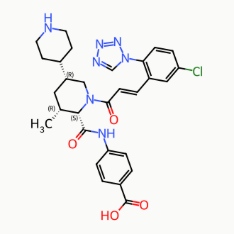 C[C@@H]1C[C@H](C2CCNCC2)CN(C(=O)C=Cc2cc(Cl)ccc2-n2cnnn2)[C@@H]1C(=O)Nc1ccc(C(=O)O)cc1